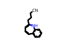 N#CCCCC1=CC=Cc2ccccc2N1